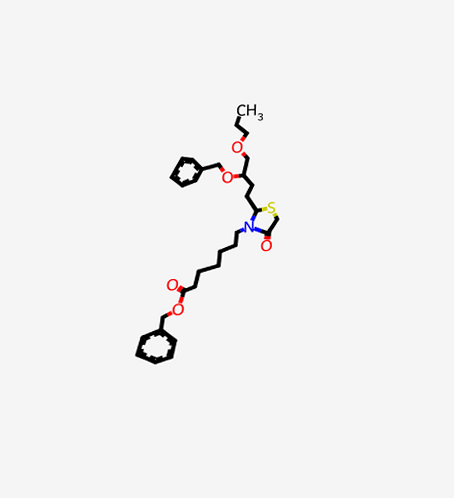 CCCOCC(CCC1SCC(=O)N1CCCCCCC(=O)OCc1ccccc1)OCc1ccccc1